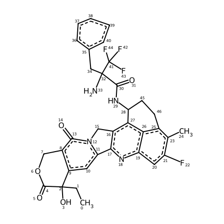 CCC1(O)C(=O)OCc2c1cc1n(c2=O)Cc2c-1nc1cc(F)c(C)c3c1c2C(NC(=O)C(N)(Cc1ccccc1)C(F)(F)F)CC3